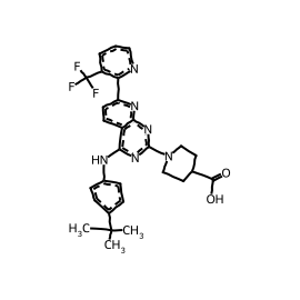 CC(C)(C)c1ccc(Nc2nc(N3CCC(C(=O)O)CC3)nc3nc(-c4ncccc4C(F)(F)F)ccc23)cc1